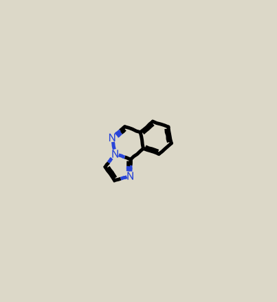 c1ccc2c(c1)cnn1ccnc21